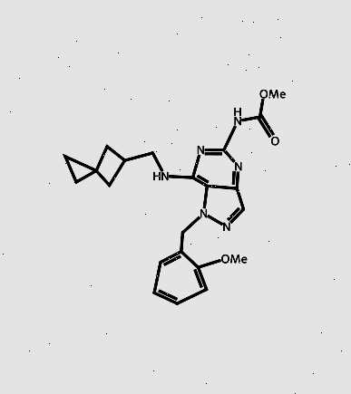 COC(=O)Nc1nc(NCC2CC3(CC3)C2)c2c(cnn2Cc2ccccc2OC)n1